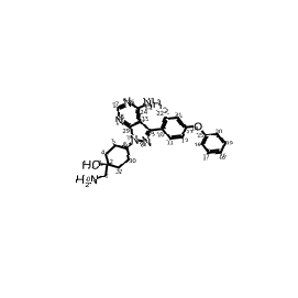 NC[C@]1(O)CC[C@@H](n2nc(-c3ccc(Oc4ccccc4)cc3)c3c(N)ncnc32)CC1